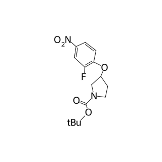 CC(C)(C)OC(=O)N1CCC(Oc2ccc([N+](=O)[O-])cc2F)C1